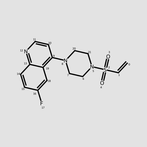 C=CS(=O)(=O)N1CCN(c2[c]cnc3ccc(F)cc23)CC1